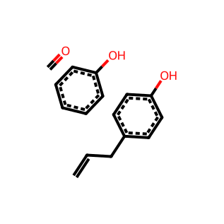 C=CCc1ccc(O)cc1.C=O.Oc1ccccc1